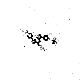 C=N/C=C(\C=C1/CNC=C1c1ccc(OCC2(C)COC2)c(C#N)c1)c1cnn(C2CCN(C)CC2)c1